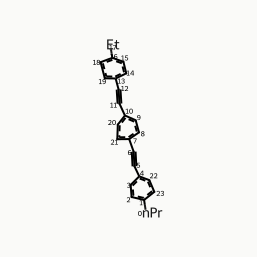 CCCc1ccc(C#Cc2ccc(C#Cc3ccc(CC)cc3)cc2)cc1